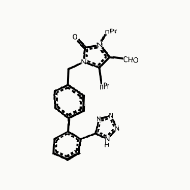 CCCc1c(C=O)n(CCC)c(=O)n1Cc1ccc(-c2ccccc2-c2nnn[nH]2)cc1